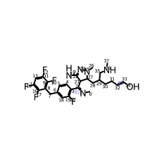 C/N=C(/c1ccc(Cc2c(F)c(F)cc(F)c2F)cc1F)C1C(N)=NN(C)C1CC(CC/C=C/O)CNC